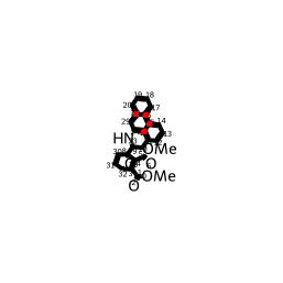 COC(=O)C1=C(C(=O)OC)C2(C(Cc3cccc(-c4ccccc4)c3)Nc3ccccc3)C=CC1O2